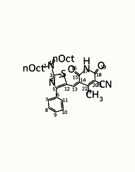 CCCCCCCCN(CCCCCCCC)c1nc(-c2ccccc2)c(/C=C2\C(=O)NC(=O)C(C#N)=C2C)s1